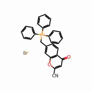 N#Cc1cc(=O)c2ccc(C[P+](c3ccccc3)(c3ccccc3)c3ccccc3)cc2o1.[Br-]